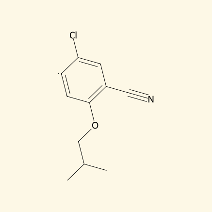 CC(C)COc1c[c]c(Cl)cc1C#N